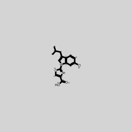 CC(C)Cc1cn(-c2nc(C(=O)O)co2)c2cc(Cl)ccc12